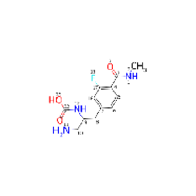 CNC(=O)c1ccc(CC(CN)NC(=O)O)cc1F